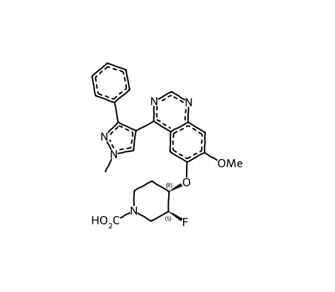 COc1cc2ncnc(-c3cn(C)nc3-c3ccccc3)c2cc1O[C@@H]1CCN(C(=O)O)C[C@@H]1F